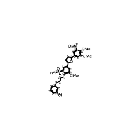 CCCS(=O)(=O)c1cc(C2CCC(c3cc(OC)c(OC)c(OC)c3)O2)cc(OC)c1OCCSc1cccc(O)c1